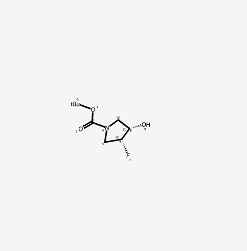 CC(C)(C)OC(=O)N1C[C@@H](F)[C@@H](O)C1